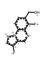 OCc1ccc2c(ncc3c(F)cnn32)c1F